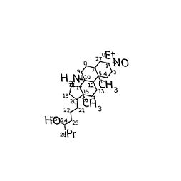 CC[C@]1(N=O)CC[C@@]2(C)C(CC[C@]3(N)C2CC[C@@]2(C)C3CC[C@@H]2CCCC(O)C(C)C)C1